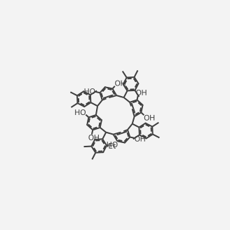 CCc1cc(C)c(C)cc1C1c2cc(c(O)cc2O)C(c2cc(C)c(C)cc2C)c2cc(c(O)cc2O)C(c2cc(C)c(C)cc2C)c2cc(c(O)cc2O)C(c2cc(C)c(C)cc2C)c2cc1c(O)cc2O